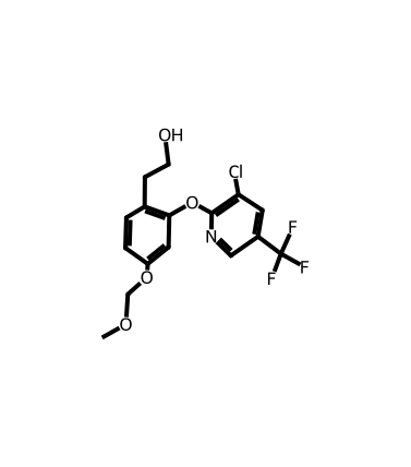 COCOc1ccc(CCO)c(Oc2ncc(C(F)(F)F)cc2Cl)c1